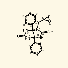 O=C1NC2(c3ccccc3)NC(=O)N(CC3CO3)C2(c2ccccc2)N1